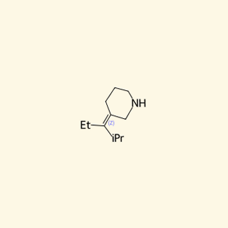 CC/C(=C1\CCCNC1)C(C)C